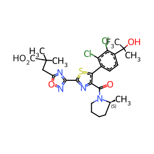 C[C@H]1CCCCN1C(=O)c1nc(-c2noc(CC(C)(C)C(=O)O)n2)sc1-c1ccc(C(C)(O)C(F)(F)F)c(Cl)c1Cl